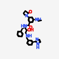 CCNc1cc(C(=O)N[C@@H](Cc2ccccc2)[C@@H](O)CNCc2cccc(-c3ncc[nH]3)c2)cc(N2CCCC2=O)c1